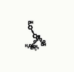 C[Si](C)(C)CCOCn1c(OCC(=O)O)nc2cc(C#Cc3ccc(CO)cc3)ccc21